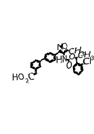 Cc1onc(-c2ccc(-c3cccc(CC(=O)O)c3)cc2)c1NC(=O)OC(C)c1ccccc1Cl